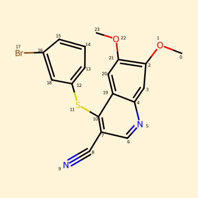 COc1cc2ncc(C#N)c(Sc3cccc(Br)c3)c2cc1OC